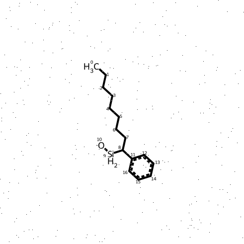 CCCCCCCCC([SiH2][O])c1ccccc1